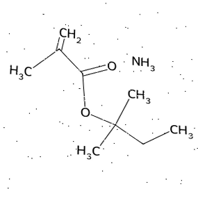 C=C(C)C(=O)OC(C)(C)CC.N